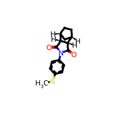 CSc1ccc(N2C(=O)[C@@H]3[C@@H]4CC[C@@H](C4)[C@@H]3C2=O)cc1